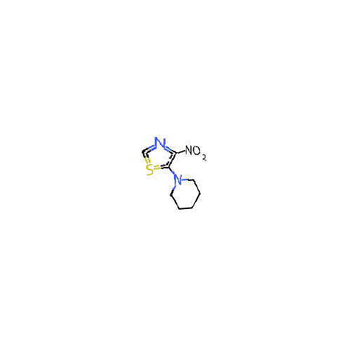 O=[N+]([O-])c1ncsc1N1CCCCC1